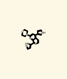 c1cc(-c2nccc3c(-c4cc[nH]c4)cc(N4CCOCC4)nc23)[nH]n1